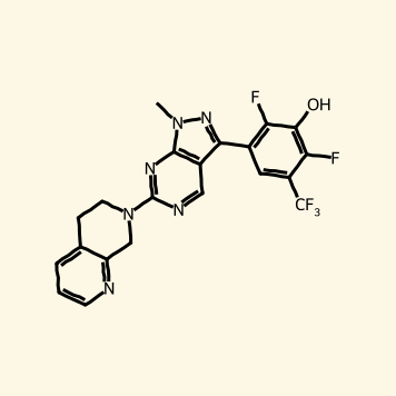 Cn1nc(-c2cc(C(F)(F)F)c(F)c(O)c2F)c2cnc(N3CCc4cccnc4C3)nc21